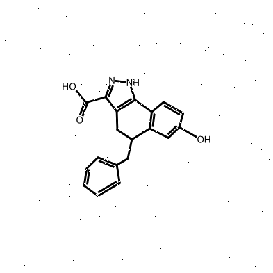 O=C(O)c1n[nH]c2c1CC(Cc1ccccc1)c1cc(O)ccc1-2